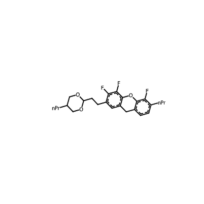 CCCc1ccc2c(c1F)Oc1c(cc(CCC3OCC(CCC)CO3)c(F)c1F)C2